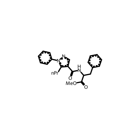 CCCc1c(C(=O)NC(Cc2ccccc2)C(=O)OC)cnn1-c1ccccc1